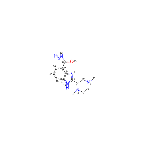 CN1CCN(C)C(c2nc3c(C(N)=O)cccc3[nH]2)C1